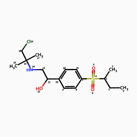 CCC(C)S(=O)(=O)c1ccc(C(O)CNC(C)(C)CCl)cc1